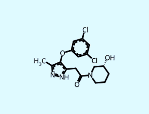 Cc1n[nH]c(CC(=O)N2CCC[C@@H](O)C2)c1Oc1cc(Cl)cc(Cl)c1